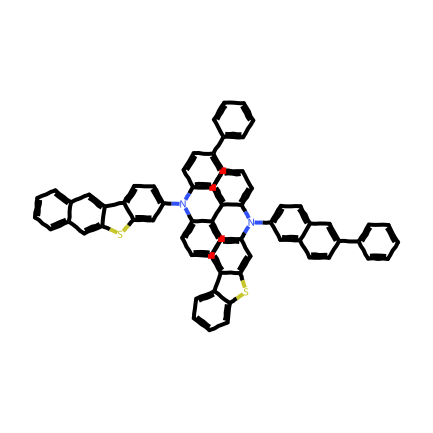 c1ccc(-c2ccc(N(c3ccc4c(c3)sc3cc5ccccc5cc34)c3ccccc3-c3ccccc3N(c3ccc4cc(-c5ccccc5)ccc4c3)c3ccc4c(c3)sc3ccccc34)cc2)cc1